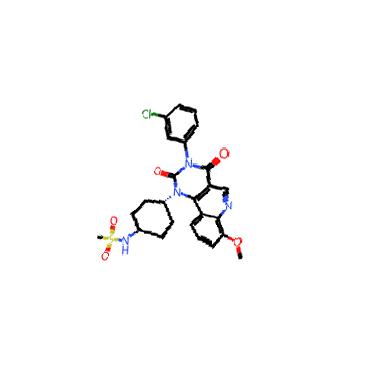 COc1cccc2c1ncc1c(=O)n(-c3cccc(Cl)c3)c(=O)n([C@H]3CC[C@H](NS(C)(=O)=O)CC3)c12